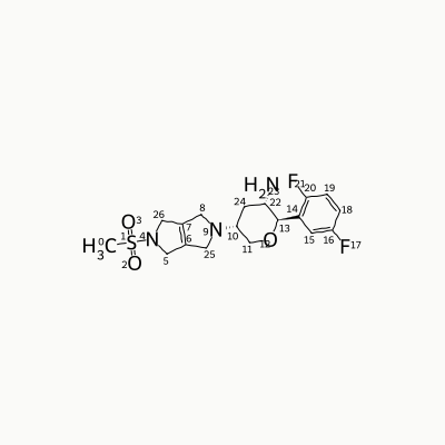 CS(=O)(=O)N1CC2=C(CN([C@H]3CO[C@H](c4cc(F)ccc4F)[C@@H](N)C3)C2)C1